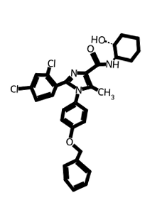 Cc1c(C(=O)N[C@H]2CCCC[C@H]2O)nc(-c2ccc(Cl)cc2Cl)n1-c1ccc(OCc2ccccc2)cc1